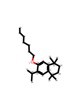 CCCCCCCOc1cc2c(cc1C(C)C)C(C)(C)CCC2(C)C